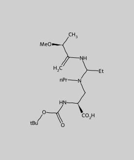 C=C(NC(CC)N(CCC)C[C@H](NC(=O)OC(C)(C)C)C(=O)O)[C@H](C)OC